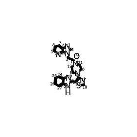 O=C(Cn1cnc2cccnc21)N1CCN(c2ncsc2-c2nc3ccccc3[nH]2)CC1